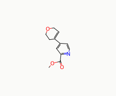 COC(=O)c1cc(C2=CCOCC2)ccn1